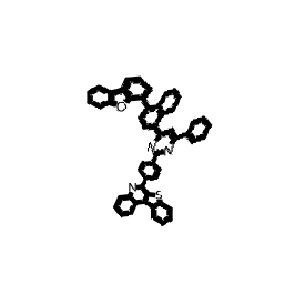 c1ccc(-c2cc(-c3ccc(-c4cccc5c4oc4ccccc45)c4ccccc34)nc(-c3ccc(-c4nc5ccccc5c5c4sc4ccccc45)cc3)n2)cc1